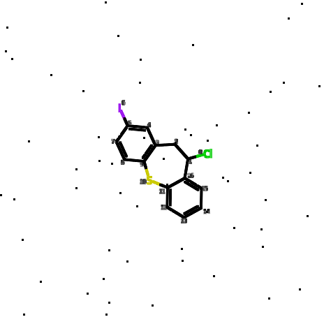 ClC1Cc2cc(I)ccc2Sc2ccccc21